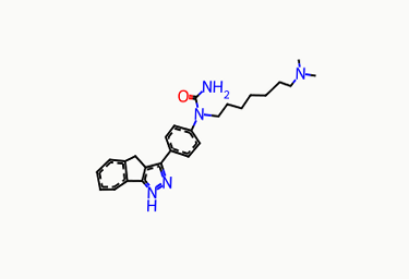 CN(C)CCCCCCCN(C(N)=O)c1ccc(-c2n[nH]c3c2Cc2ccccc2-3)cc1